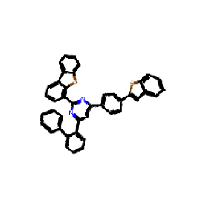 c1ccc(-c2ccccc2-c2cc(-c3ccc(-c4cc5ccccc5s4)cc3)nc(-c3cccc4c3sc3ccccc34)n2)cc1